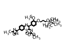 COC(=O)N=C(SC)C(=Nc1ccc(-c2noc(C)n2)cc1)c1ccc(OCCCO[Si](C)(C)C(C)(C)C)c(OC)c1